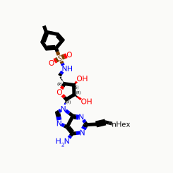 CCCCCCC#Cc1nc(N)c2ncn([C@@H]3O[C@H](CNS(=O)(=O)c4ccc(C)cc4)[C@@H](O)[C@H]3O)c2n1